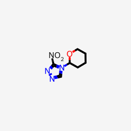 O=[N+]([O-])c1nncn1C1CCCCO1